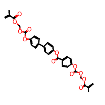 C=C(C)C(=O)OCOC(=O)Oc1ccc(C(=O)Oc2ccc(-c3ccc(OC(=O)OCOC(=O)C(=C)C)cc3)cc2)cc1